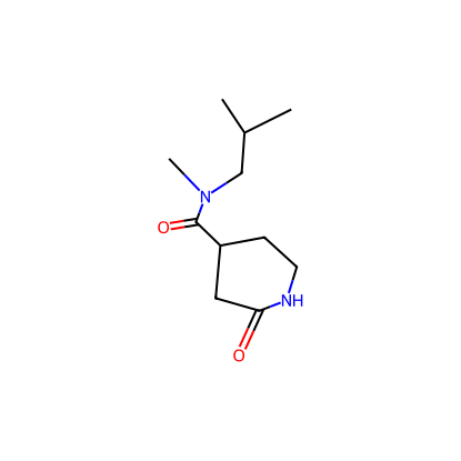 CC(C)CN(C)C(=O)C1CCNC(=O)C1